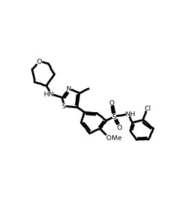 COc1ccc(-c2sc(NC3CCOCC3)nc2C)cc1S(=O)(=O)Nc1ccccc1Cl